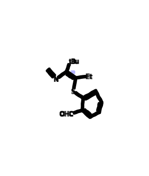 C=N/C(=C(/CC)Sc1ccccc1C=O)C(C)(C)C